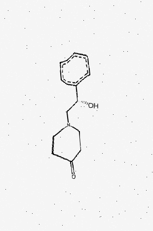 O=C1CCN(C[C@@H](O)c2ccccc2)CC1